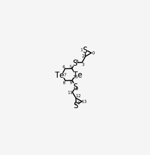 C1SC1CSC1C[Te]CC(SCC2CS2)[Te]1